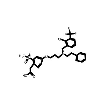 CS(=O)(=O)c1cc(OCCCN(CCc2ccccc2)Cc2cccc(C(F)(F)F)c2Cl)ccc1CC(=O)O